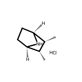 C[C@@H]1[C@H](C)[C@H]2CC[C@@H]1N2.Cl